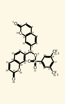 O=c1ccc2ccc([I+](OS(=O)(=O)c3cc(C(F)(F)F)cc(C(F)(F)F)c3)c3ccc4ccc(=O)oc4c3)cc2o1